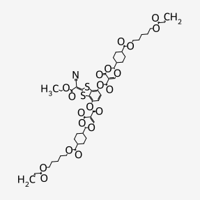 C=CC(=O)OCCCCCOC(=O)C1CCC(C2OC=C(C(=O)Oc3ccc(OC(=O)C4=COC(C5CCC(C(=O)OCCCCCOC(=O)C=C)CC5)OC4=O)c4c3SC(=C(C#N)C(=O)OCC)S4)C(=O)O2)CC1